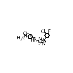 CN(C)c1ccc(CNc2nn3c(-c4ccc(F)c(Cl)c4)cnc3s2)cc1